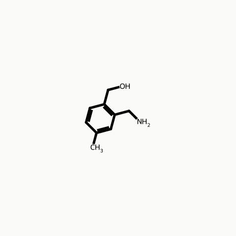 Cc1ccc(CO)c(CN)c1